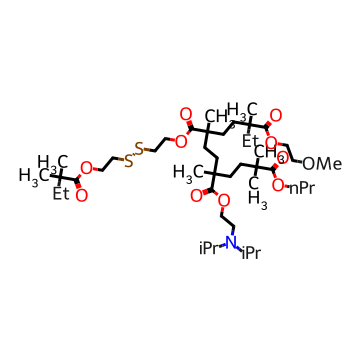 CCCOC(=O)C(C)(C)CCC(C)(CCC(C)(CCC(C)(CC)C(=O)OCCOC)C(=O)OCCSSCCOC(=O)C(C)(C)CC)C(=O)OCCN(C(C)C)C(C)C